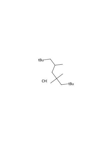 CC(CC(C)(C)C)CC(C)(C)CC(C)(C)C.[CH]